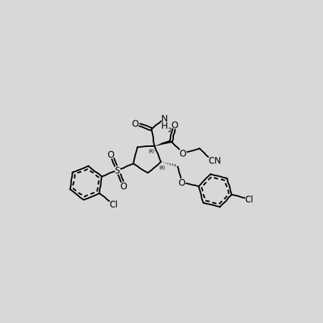 N#CCOC(=O)[C@]1(C(N)=O)CC(S(=O)(=O)c2ccccc2Cl)C[C@H]1COc1ccc(Cl)cc1